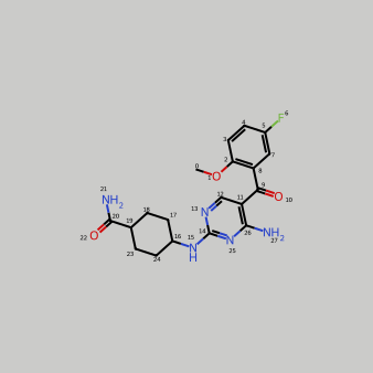 COc1ccc(F)cc1C(=O)c1cnc(NC2CCC(C(N)=O)CC2)nc1N